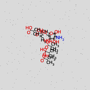 CC(C)C(=O)O.CC(C)C(=O)O.CC(C)C(=O)O.CC(C)C(=O)O.CC(C)C(=O)O.N[C@@H]1[C@@H](O)[C@H](O)[C@@H](CO)O[C@H]1O